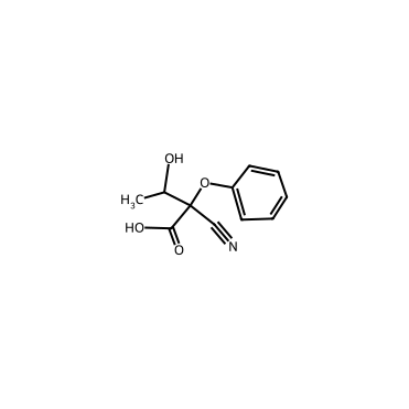 CC(O)C(C#N)(Oc1ccccc1)C(=O)O